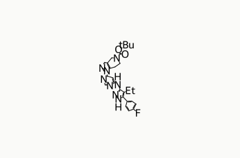 CCc1c(Nc2cc(-n3ncc4c3CCN(C(=O)OC(C)(C)C)C4)ncn2)n[nH]c1-c1ccc(F)cc1